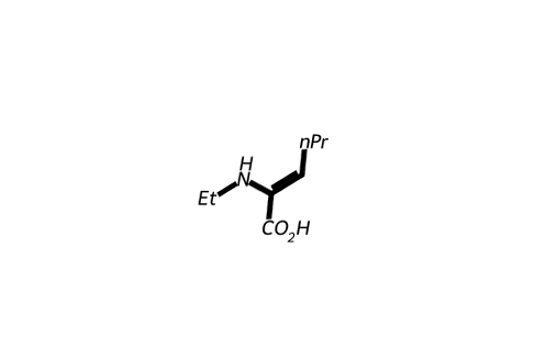 CCC/C=C(\NCC)C(=O)O